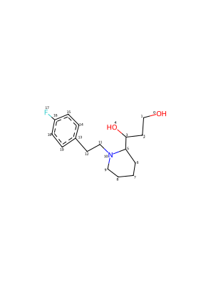 OC[CH]C(O)C1CCCCN1CCc1ccc(F)cc1